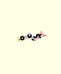 Cc1nc(C2CN(c3cncc(OC[C@H]4CC[C@H](C(F)(F)F)CC4)c3)CCO2)ccc1C(=O)O